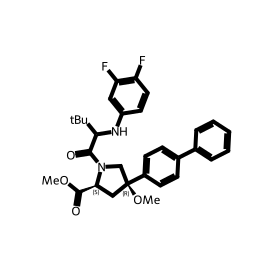 COC(=O)[C@@H]1C[C@@](OC)(c2ccc(-c3ccccc3)cc2)CN1C(=O)C(Nc1ccc(F)c(F)c1)C(C)(C)C